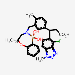 Cc1ccc(C(CC(=O)O)c2ccc3c(nnn3C)c2F)cc1CN1C[C@@H](C)Oc2ccccc2S1(O)O